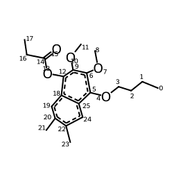 CCCCOc1c(OC)c(OC)c(OC(=O)CC)c2cc(C)c(C)cc12